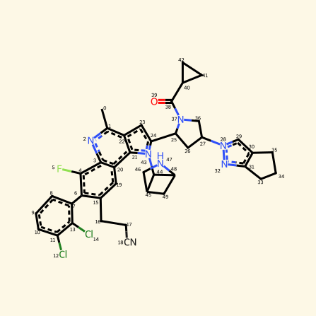 Cc1nc2c(F)c(-c3cccc(Cl)c3Cl)c(CCC#N)cc2c2c1cc(C1CC(n3cc4c(n3)CCC4)CN1C(=O)C1CC1)n2C1C2CNC1C2